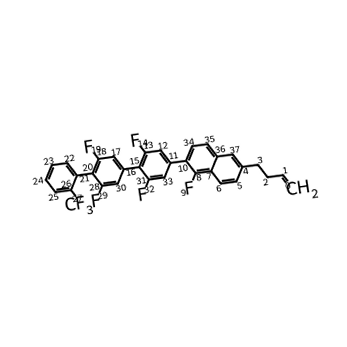 C=CCCc1ccc2c(F)c(-c3cc(F)c(-c4cc(F)c(-c5ccccc5C(F)(F)F)c(F)c4)c(F)c3)ccc2c1